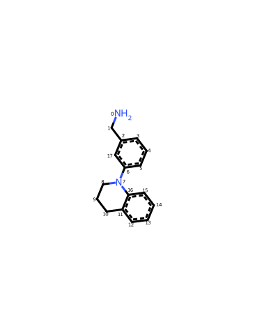 NCc1cccc(N2CCCc3ccccc32)c1